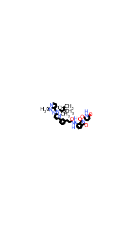 C=CC(C)[C@@H](C)[C@H](C)n1c(-c2cccnc2N=C)nc2ccc(-c3cccc(CCC(=O)NNc4cccc5c4C(=O)N(C4CCC(=O)NC4=O)C5=O)c3)nc21